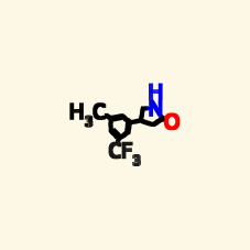 Cc1cc(C2CNC(=O)C2)cc(C(F)(F)F)c1